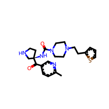 Cc1ccc(C(=O)[C@@]2(NC(=O)N3CCN(CCc4cccs4)CC3)CCNC2)cn1